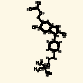 CCC(=O)OCc1cc2nc(CC)n(-c3ccc(CCO[Si](C)(C)C(C)(C)C)cc3)c2cc1Cl